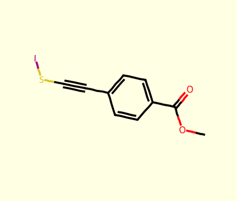 COC(=O)c1ccc(C#CSI)cc1